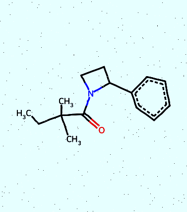 CCC(C)(C)C(=O)N1CCC1c1ccccc1